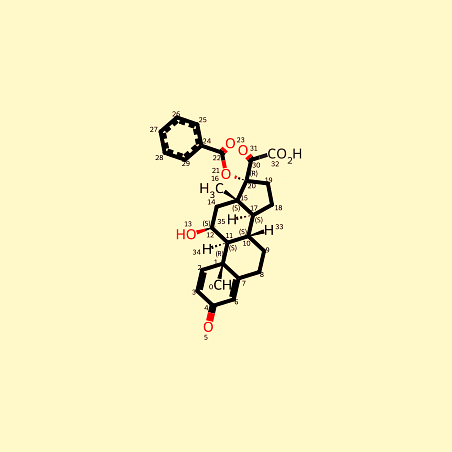 C[C@]12C=CC(=O)C=C1CC[C@@H]1[C@@H]2[C@@H](O)C[C@@]2(C)[C@H]1CC[C@]2(OC(=O)c1ccccc1)C(=O)C(=O)O